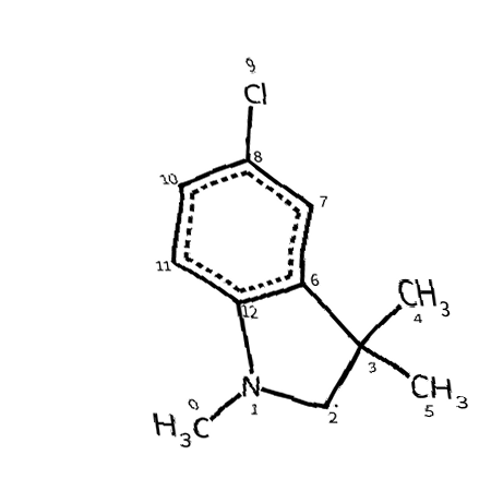 CN1[CH]C(C)(C)c2cc(Cl)ccc21